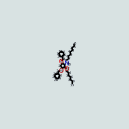 CCCCCCCCCN(C)C1C(OCc2ccccc2)CC(OCc2ccccc2)C1OCCCCCCC